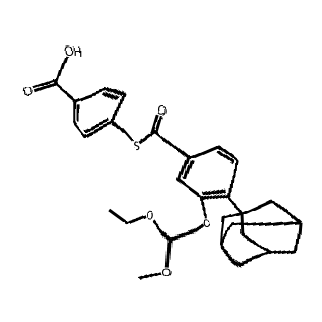 CCOC(OC)Oc1cc(C(=O)Sc2ccc(C(=O)O)cc2)ccc1C12CC3CC(CC(C3)C1)C2